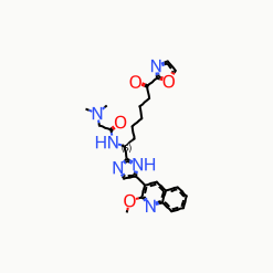 COc1nc2ccccc2cc1-c1cnc([C@H](CCCCCC(=O)c2ncco2)NC(=O)CN(C)C)[nH]1